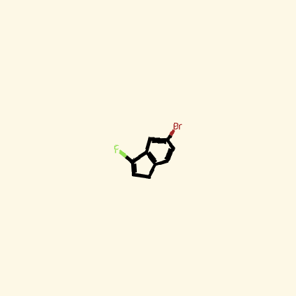 FC1=CCc2ccc(Br)cc21